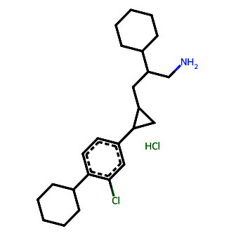 Cl.NCC(CC1CC1c1ccc(C2CCCCC2)c(Cl)c1)C1CCCCC1